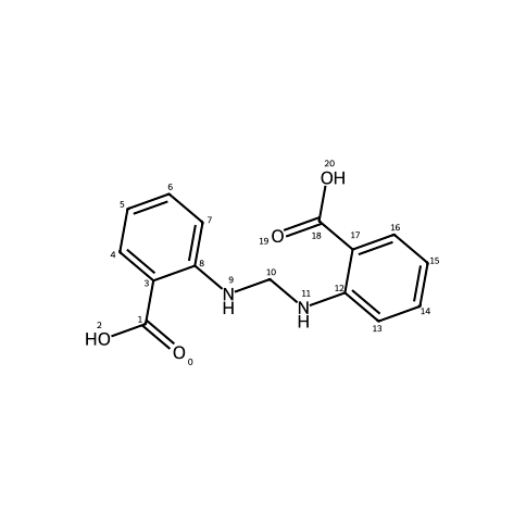 O=C(O)c1ccccc1NCNc1ccccc1C(=O)O